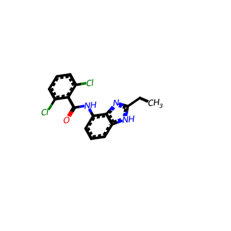 CCc1nc2c(NC(=O)c3c(Cl)cccc3Cl)cccc2[nH]1